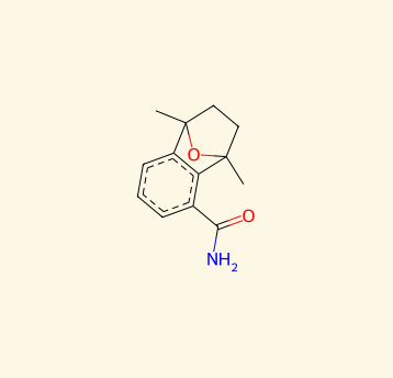 CC12CCC(C)(O1)c1c(C(N)=O)cccc12